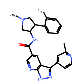 CCCN1CC(NC(=O)c2cnc3[nH]nc(-c4ccnc(C)c4)c3c2)C(c2ccccc2C(F)(F)F)C1